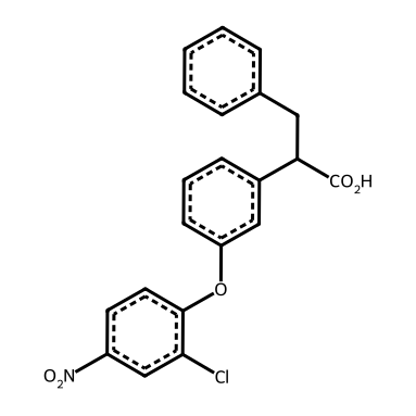 O=C(O)C(Cc1ccccc1)c1cccc(Oc2ccc([N+](=O)[O-])cc2Cl)c1